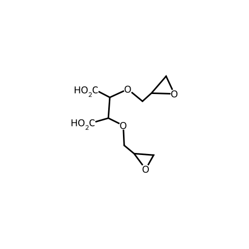 O=C(O)C(OCC1CO1)C(OCC1CO1)C(=O)O